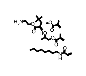 C=C(C)C(=O)OC.C=C(C)C(=O)OCC(C)O.C=C(CC(C)(C)C)C(=O)OCCN.C=CC(=O)NCCCCCCCC